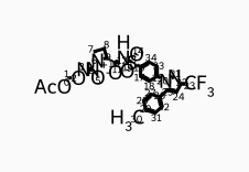 CC(=O)OCON=[N+]([O-])N1CC[C@H]1C(=O)NS(=O)(=O)c1ccc(-n2nc(C(F)(F)F)cc2-c2ccc(C)cc2)cc1